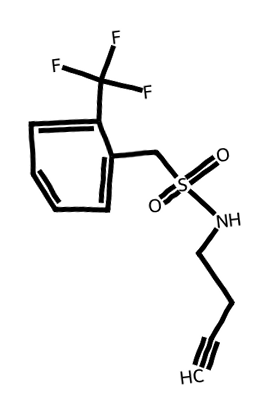 C#CCCNS(=O)(=O)Cc1ccccc1C(F)(F)F